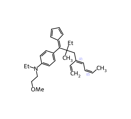 C=C/C(=C\C=C/C)CC(C)(CC)C(=C1C=CC=C1)c1ccc(N(CC)CCOC)cc1